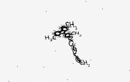 COCCOCCOCCOc1ccc(C2c3cc(C)ccc3-c3ccc(C)cc32)cc1C